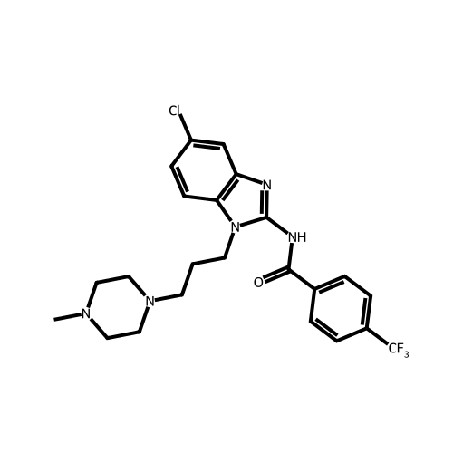 CN1CCN(CCCn2c(NC(=O)c3ccc(C(F)(F)F)cc3)nc3cc(Cl)ccc32)CC1